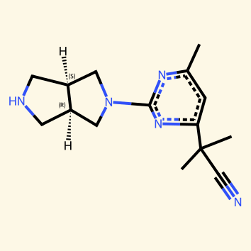 Cc1cc(C(C)(C)C#N)nc(N2C[C@H]3CNC[C@H]3C2)n1